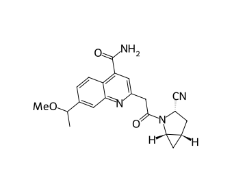 COC(C)c1ccc2c(C(N)=O)cc(CC(=O)N3[C@H](C#N)C[C@@H]4C[C@@H]43)nc2c1